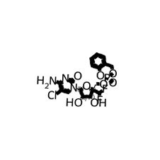 Nc1nc(=O)n([C@@H]2O[C@@](COP3(=O)OCc4ccccc4O3)(C(F)F)[C@H](O)[C@H]2O)cc1Cl